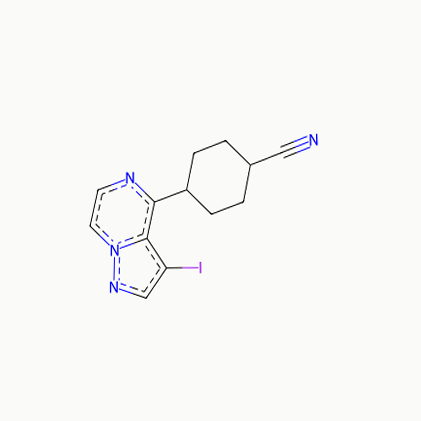 N#CC1CCC(c2nccn3ncc(I)c23)CC1